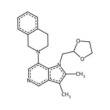 Cc1c(C)n(CC2OCCO2)c2c(N3CCc4ccccc4C3)cncc12